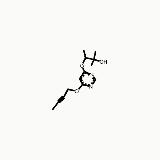 CC#CCOc1cc(OC(C)C(C)(C)O)ncn1